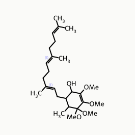 COC1=C(OC)C(OC)(OC)C(C)C(C/C=C(\C)CC/C=C(\C)CCC=C(C)C)C1O